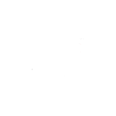 COC(=O)CC(O)CCCCCCC(C)CCCCCCC(C)C